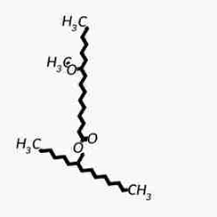 CCCCCCCCC(CCCCCC)COC(=O)CCCCCCCCC(CCCCCC)OC